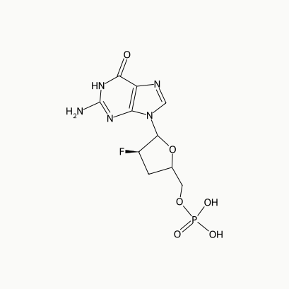 Nc1nc2c(ncn2C2OC(COP(=O)(O)O)C[C@H]2F)c(=O)[nH]1